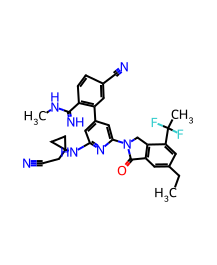 CCc1cc2c(c(C(C)(F)F)c1)CN(c1cc(-c3cc(C#N)ccc3C(=N)NC)cc(NC3(CC#N)CC3)n1)C2=O